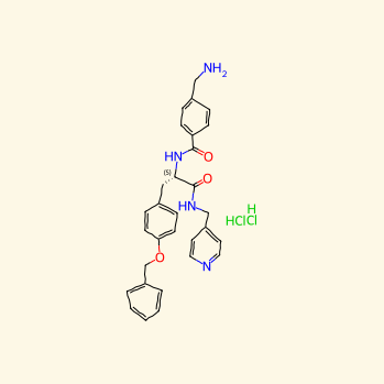 Cl.Cl.NCc1ccc(C(=O)N[C@@H](Cc2ccc(OCc3ccccc3)cc2)C(=O)NCc2ccncc2)cc1